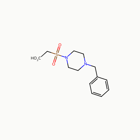 O=C(O)CS(=O)(=O)N1CCN(Cc2ccccc2)CC1